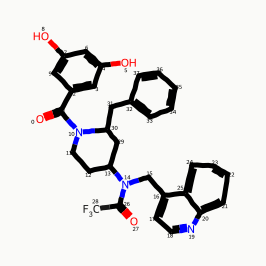 O=C(c1cc(O)cc(O)c1)N1CCC(N(Cc2ccnc3ccccc23)C(=O)C(F)(F)F)CC1Cc1ccccc1